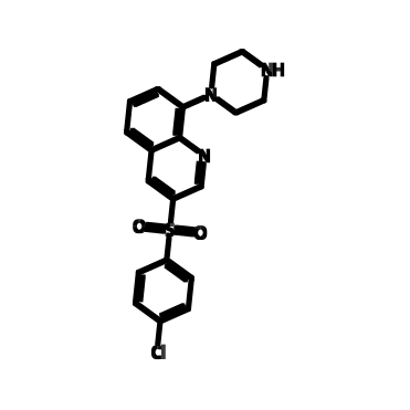 O=S(=O)(c1ccc(Cl)cc1)c1cnc2c(N3CCNCC3)cccc2c1